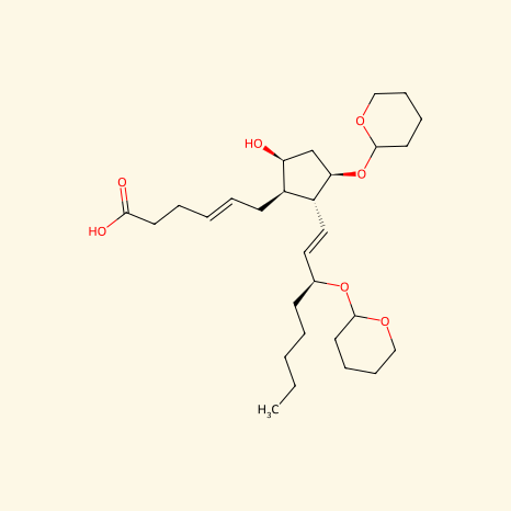 CCCCC[C@@H](C=C[C@@H]1[C@@H](CC=CCCC(=O)O)[C@@H](O)C[C@H]1OC1CCCCO1)OC1CCCCO1